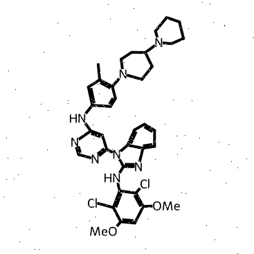 COc1cc(OC)c(Cl)c(Nc2nc3ccccc3n2-c2cc(Nc3ccc(N4CCC(N5CCCCC5)CC4)c(C)c3)ncn2)c1Cl